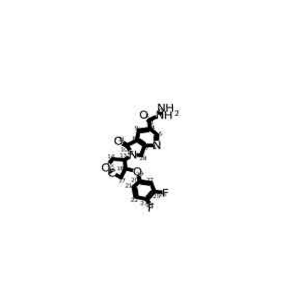 NNC(=O)c1cnc2c(c1)C(=O)N(C1COCCC1Oc1ccc(F)c(F)c1)C2